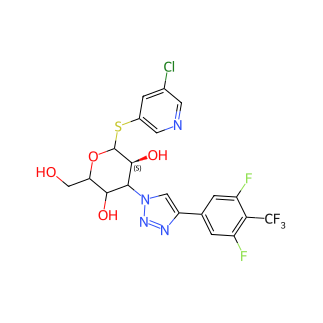 OCC1OC(Sc2cncc(Cl)c2)[C@@H](O)C(n2cc(-c3cc(F)c(C(F)(F)F)c(F)c3)nn2)C1O